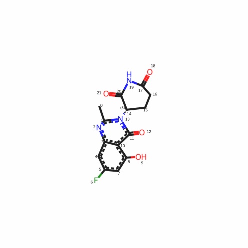 Cc1nc2cc(F)cc(O)c2c(=O)n1[C@H]1CCC(=O)NC1=O